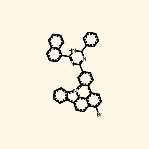 Brc1ccc2c3ccc(C4=NC(c5ccccc5)NC(c5cccc6ccccc56)=N4)cc3n3c4ccccc4c4ccc1c2c43